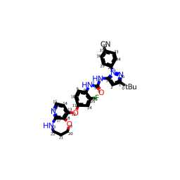 CC(C)(C)c1cc(NC(=O)Nc2ccc(Oc3ccnc4c3OCCCN4)cc2F)n(-c2ccc(C#N)cc2)n1